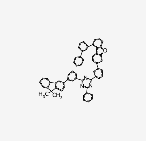 CC1(C)c2ccccc2-c2cc(-c3cccc(-c4nc(-c5ccccc5)nc(-c5cccc(-c6ccc7c(c6)oc6cccc(-c8cccc(-c9ccccc9)c8)c67)c5)n4)c3)ccc21